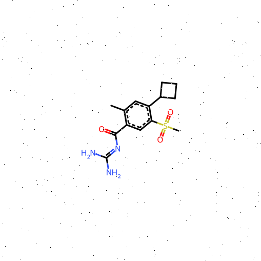 Cc1cc(C2CCC2)c(S(C)(=O)=O)cc1C(=O)N=C(N)N